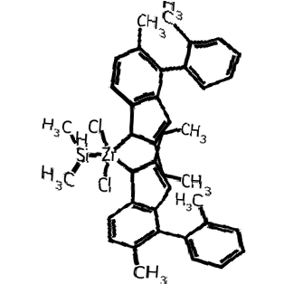 CCC1=Cc2c(ccc(C)c2-c2ccccc2C)[CH]1[Zr]([Cl])([Cl])([CH]1C(CC)=Cc2c1ccc(C)c2-c1ccccc1C)[SiH](C)C